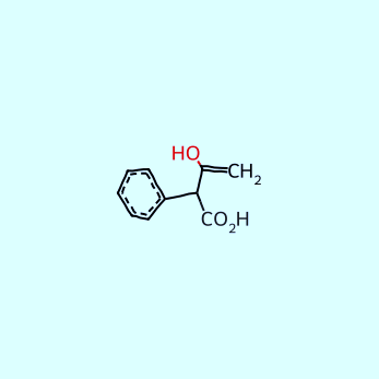 C=C(O)C(C(=O)O)c1ccccc1